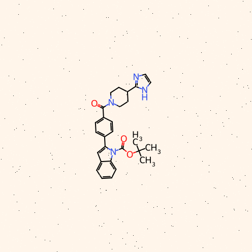 CC(C)(C)OC(=O)n1c(-c2ccc(C(=O)N3CCC(c4ncc[nH]4)CC3)cc2)cc2ccccc21